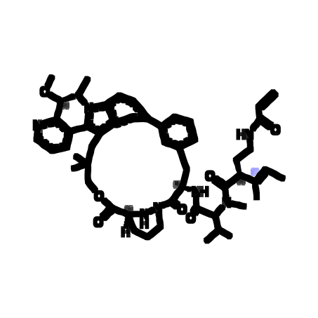 C=CC(=O)NCC[C@H](C(=O)N(C)C(C(=O)N[C@H]1Cc2cccc(c2)-c2ccc3c(c2)c(c(-c2cccnc2[C@H](C)OC)n3CC)CC(C)(C)COC(=O)[C@@H]2CCCN(N2)C1=O)C(C)C)/C(C)=C/C